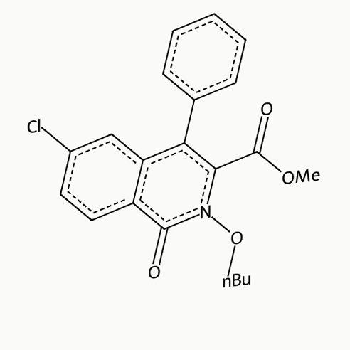 CCCCOn1c(C(=O)OC)c(-c2ccccc2)c2cc(Cl)ccc2c1=O